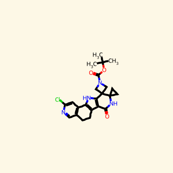 CC(C)(C)OC(=O)N1CC2(C1)c1[nH]c3c(c1C(=O)NC21CC1)CCc1cnc(Cl)cc1-3